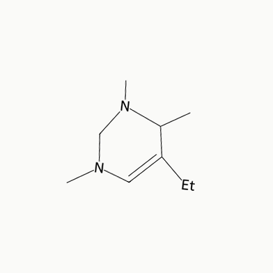 CCC1=CN(C)CN(C)C1C